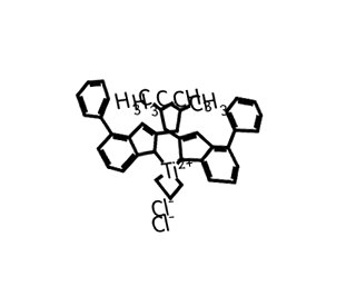 CC(C)CC1=Cc2c(-c3ccccc3)cccc2[CH]1[Ti+2]1([CH]2C(CC(C)C)=Cc3c(-c4ccccc4)cccc32)[CH2]C[CH2]1.[Cl-].[Cl-]